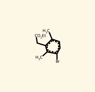 CCOC(=O)Cc1c(C)ccc(Br)c1C